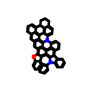 c1ccc(-n2c3ccccc3c3ccc(-c4ccccc4N(c4ccccc4-c4ccc5oc6ccccc6c5c4)c4ccccc4-c4cccc5cccc(C6CCCCC6)c45)cc32)cc1